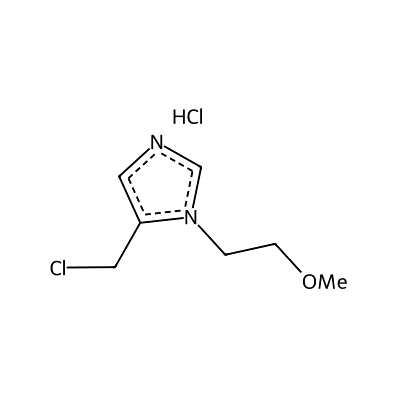 COCCn1cncc1CCl.Cl